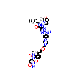 C=CCn1c(=O)c2cnc(Nc3ccc(N4CCN(CCOCCCc5cccc6c5n(C)c(=O)n6C5CCC(=O)NC5=O)CC4)cc3)nc2n1-c1ccc2c(n1)[C@@](O)(CC)CC2